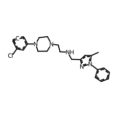 Cc1cc(CNCCN2CCN(c3cccc(Cl)c3)CC2)nn1-c1ccccc1